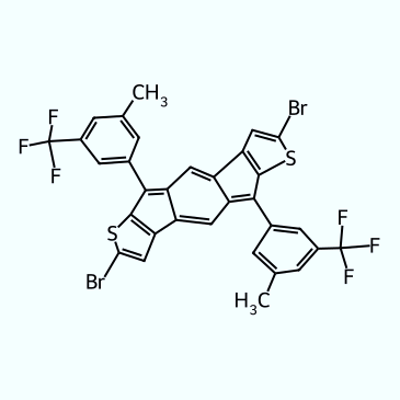 Cc1cc(C2=c3cc4c(cc3-c3cc(Br)sc32)=C(c2cc(C)cc(C(F)(F)F)c2)c2sc(Br)cc2-4)cc(C(F)(F)F)c1